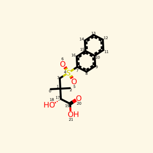 CC(C)(CS(=O)(=O)c1ccc2ccccc2c1)[C@@H](O)C(=O)O